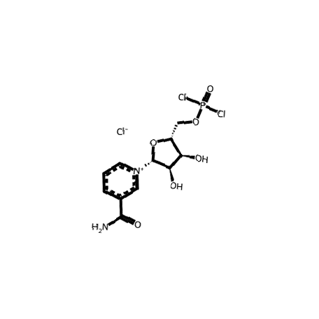 NC(=O)c1ccc[n+]([C@@H]2O[C@H](COP(=O)(Cl)Cl)[C@@H](O)[C@H]2O)c1.[Cl-]